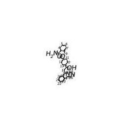 NC(=O)C1CC=CC=C1COC1CCC(C(O)CC2c3ccccc3-c3cncn32)CC1